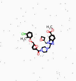 COC(=O)c1ccc2nc(CN3CCN(C(=O)c4ccc(COc5cccc(Cl)c5C)o4)CC3)n(C[C@@H]3CCO3)c2c1